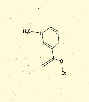 CCOC(=O)C1=CN(C)C=CC1